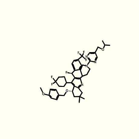 COc1ccc(CO[C@H]2CC(C)(C)Cc3nc(C4CCN(c5ncc(COC(C)C)cn5)CC4)c([C@@H](F)c4ccc(C(F)(F)F)cc4)c(C4CCC(F)(F)CC4)c32)cc1